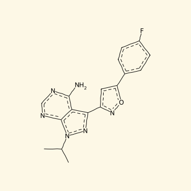 CC(C)n1nc(-c2cc(-c3ccc(F)cc3)on2)c2c(N)ncnc21